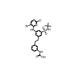 CC(C)(C)NS(=O)(=O)c1cc(CCc2cccc(NC(=O)O)c2)cc(Nc2nc(Cl)ncc2Br)c1